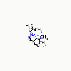 CCC(/C=C\N(N)CC(C)C)CC(C)C